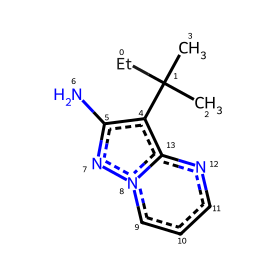 CCC(C)(C)c1c(N)nn2cccnc12